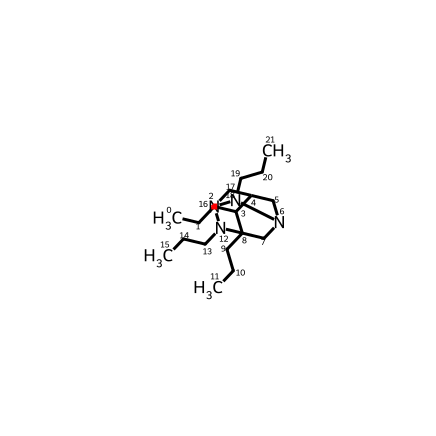 CCCC1C2CN3CC1(CCC)N(CCC)N(C2)N3CCC